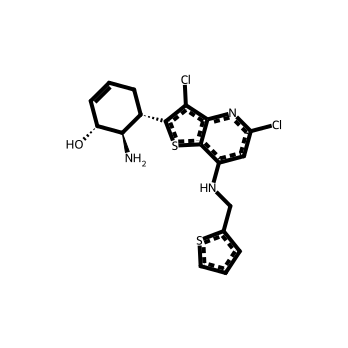 N[C@H]1[C@H](O)C=CC[C@@H]1c1sc2c(NCc3cccs3)cc(Cl)nc2c1Cl